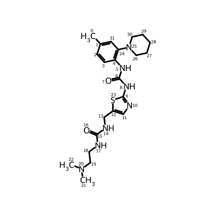 Cc1ccc(NC(=O)Nc2ncc(CNC(=O)NCCN(C)C)s2)c(N2CCCCC2)c1